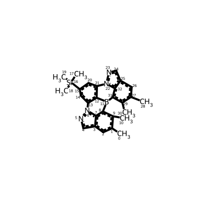 Cc1cc2cnn3c2c(c1C)B1c2c-3cc([Si](C)(C)C)cc2-n2ncc3cc(C)c(C)c1c32